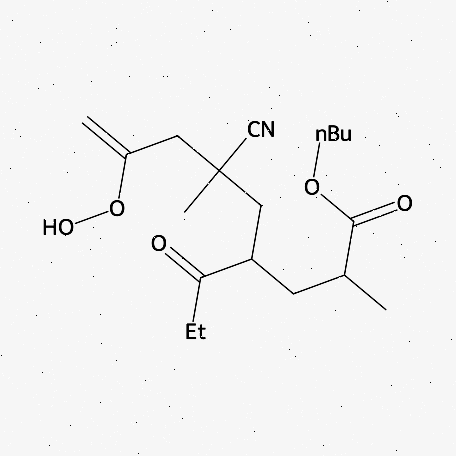 C=C(CC(C)(C#N)CC(CC(C)C(=O)OCCCC)C(=O)CC)OO